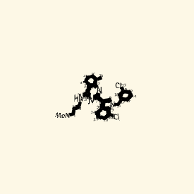 CNCCCNc1nc(-c2cn(Cc3cccc(Cl)c3)c3c(Cl)cccc23)nc2c(C)cccc12